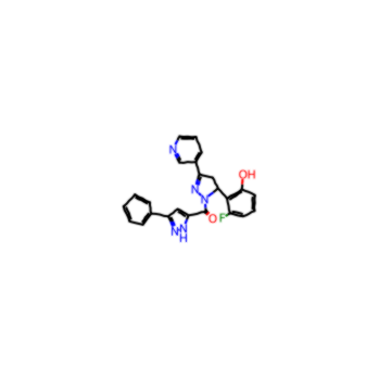 O=C(c1cc(-c2ccccc2)n[nH]1)N1N=C(c2cccnc2)CC1c1c(O)cccc1F